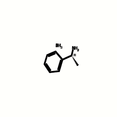 B.C[C@@H](N)c1ccccc1